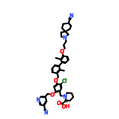 Cc1c(COc2cc(OCc3cncc(C#N)c3)c(CN3CCCC[C@H]3C(=O)O)cc2Cl)cccc1-c1cccc(OCCCN2CCC3(CCC(C#N)CC3)C2)c1C